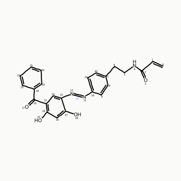 C=CC(=O)NCCc1ccc(/N=N/c2cc(C(=O)c3ccccc3)c(O)cc2O)cc1